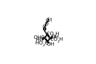 CCOCCOCCOc1ccc(CCCC(C(=O)O)N2CCN(C(C=O)CO)CCN(C(CO)C(=O)O)CCN(C(CO)C(=O)O)CC2)cc1